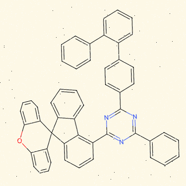 c1ccc(-c2nc(-c3ccc(-c4ccccc4-c4ccccc4)cc3)nc(-c3cccc4c3-c3ccccc3C43c4ccccc4Oc4ccccc43)n2)cc1